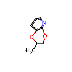 [CH2]C1COc2ncccc2O1